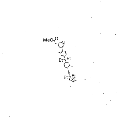 CCC(C#Cc1ccc(C(CC)(CC)c2ccc(-c3cncc(CC(=O)OC)c3)c(C)c2)cc1C)(CC)O[Si](C)(C)C